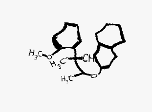 COc1ccccc1C(C)(C)C(C)OC1CCC2CCCCC2C1